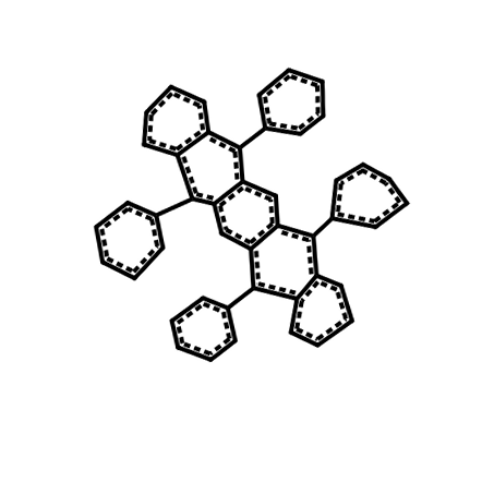 c1ccc(-c2c3ccccc3c(-c3ccccc3)c3cc4c(-c5ccccc5)c5ccccc5c(-c5ccccc5)c4cc23)cc1